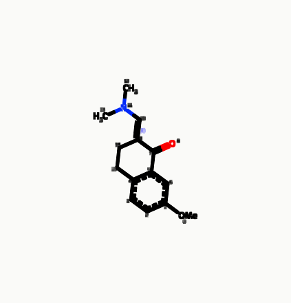 COc1ccc2c(c1)C(=O)/C(=C/N(C)C)CC2